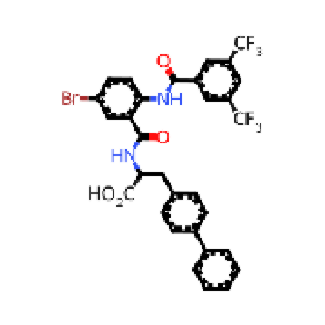 O=C(Nc1ccc(Br)cc1C(=O)NC(Cc1ccc(-c2ccccc2)cc1)C(=O)O)c1cc(C(F)(F)F)cc(C(F)(F)F)c1